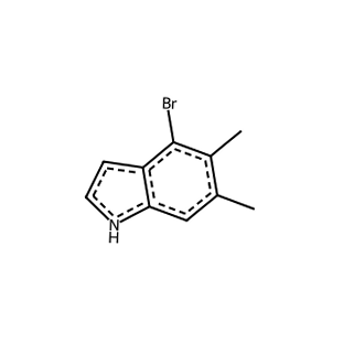 Cc1cc2[nH]ccc2c(Br)c1C